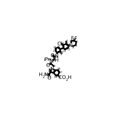 Cc1c(N2CCCC(F)(F)C2)ccc(-c2cccc(NC(=O)CN(C(=O)Cn3nc(C(N)=O)c4cc(C(=O)O)ccc43)C(C)C)c2F)c1Cl